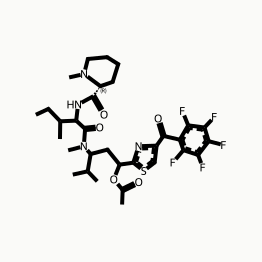 CCC(C)C(NC(=O)[C@H]1CCCCN1C)C(=O)N(C)C(CC(OC(C)=O)c1nc(C(=O)c2c(F)c(F)c(F)c(F)c2F)cs1)C(C)C